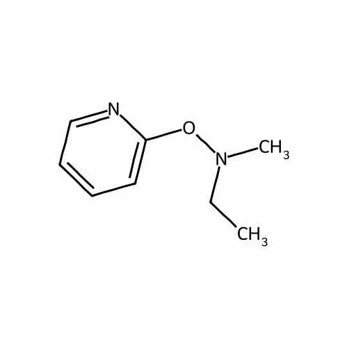 CCN(C)Oc1ccccn1